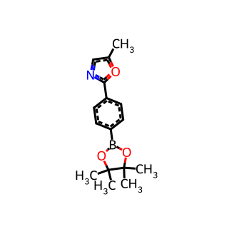 Cc1cnc(-c2ccc(B3OC(C)(C)C(C)(C)O3)cc2)o1